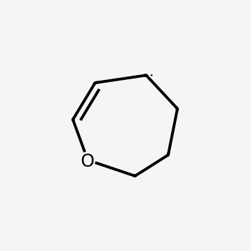 [CH]1C=COCCC1